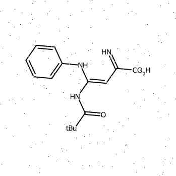 CC(C)(C)C(=O)N/C(=C/C(=N)C(=O)O)Nc1ccccc1